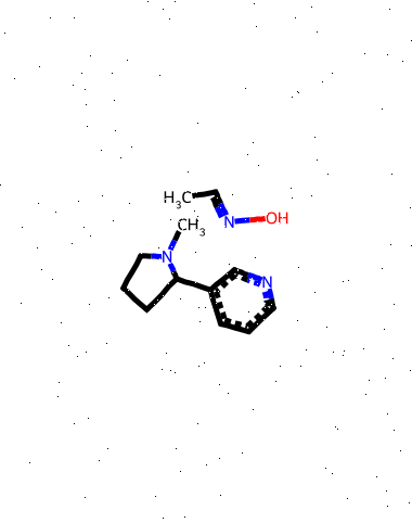 CC=NO.CN1CCCC1c1cccnc1